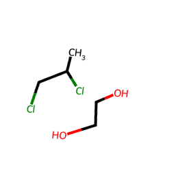 CC(Cl)CCl.OCCO